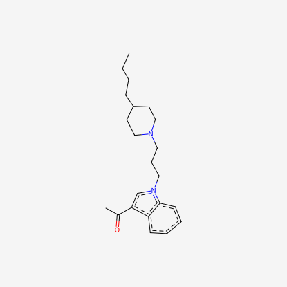 CCCCC1CCN(CCCn2cc(C(C)=O)c3ccccc32)CC1